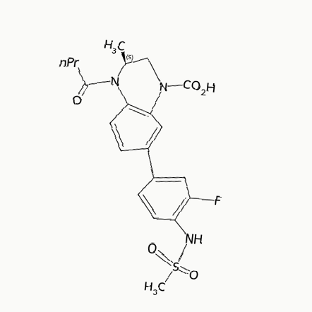 CCCC(=O)N1c2ccc(-c3ccc(NS(C)(=O)=O)c(F)c3)cc2N(C(=O)O)C[C@@H]1C